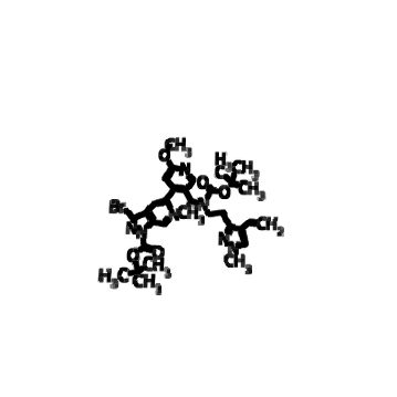 C=Cc1cn(C)nc1CCN(C(=O)OC(C)(C)C)[C@H](C)c1cnc(OC)cc1-c1cc2c(Br)nn(C(=O)OC(C)(C)C)c2cn1